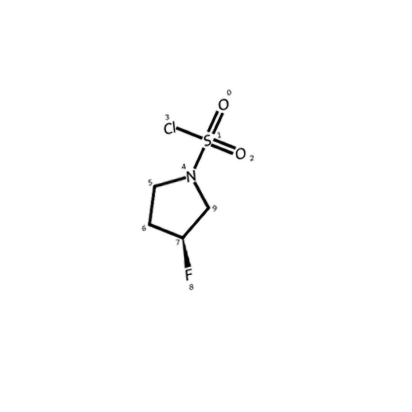 O=S(=O)(Cl)N1CC[C@H](F)C1